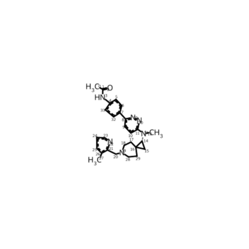 CC(=O)Nc1ccc(-c2ccc(N(C)[C@@H]3CC34CCN(Cc3ncccc3C)CC4)nn2)cc1